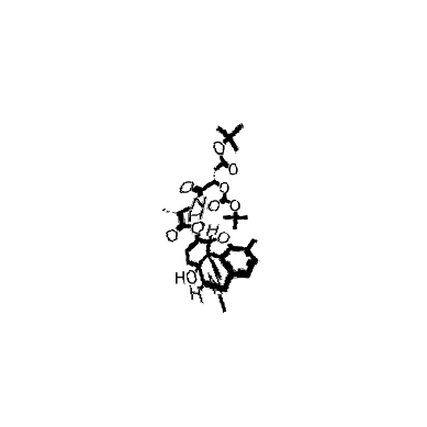 Cc1ccc2c3c1O[C@H]1C(OC(=O)[C@H](C)NC(=O)[C@H](CC(=O)OC(C)(C)C)OC(=O)OC(C)(C)C)=CC[C@@]4(O)[C@@H](C2)N(C)CC[C@]314